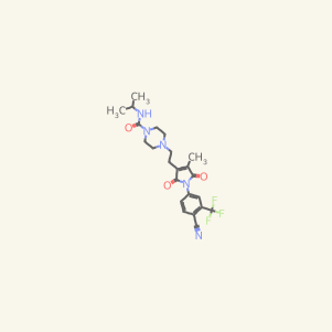 CC1=C(CCN2CCN(C(=O)NC(C)C)CC2)C(=O)N(c2ccc(C#N)c(C(F)(F)F)c2)C1=O